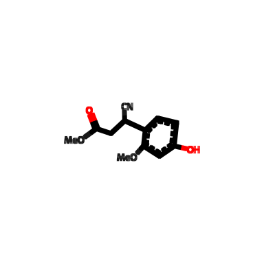 COC(=O)CC(C#N)c1ccc(O)cc1OC